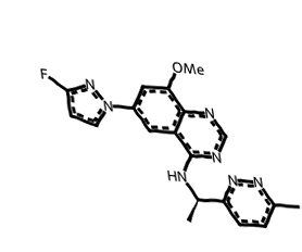 COc1cc(-n2ccc(F)n2)cc2c(N[C@H](C)c3ccc(C)nn3)ncnc12